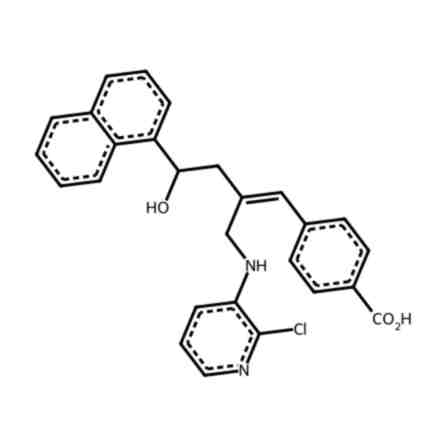 O=C(O)c1ccc(C=C(CNc2cccnc2Cl)CC(O)c2cccc3ccccc23)cc1